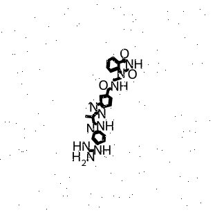 CC(c1nc2cc(NC(=N)N)ccc2[nH]1)c1nc2ccc(C(=O)NCCn3c(=O)[nH]c(=O)c4ccccc43)cc2n1C